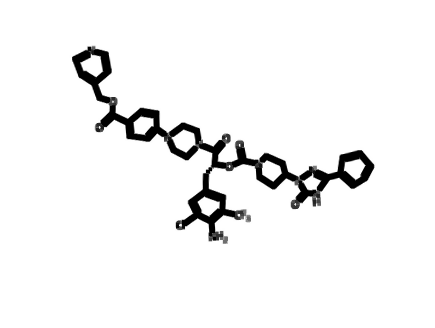 Nc1c(Cl)cc(C[C@@H](OC(=O)N2CCC(n3nc(-c4ccccc4)[nH]c3=O)CC2)C(=O)N2CCN(c3ccc(C(=O)OCc4ccncc4)cc3)CC2)cc1C(F)(F)F